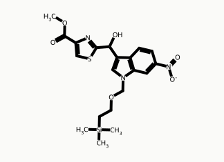 COC(=O)c1csc(C(O)c2cn(COCC[Si](C)(C)C)c3cc([N+](=O)[O-])ccc23)n1